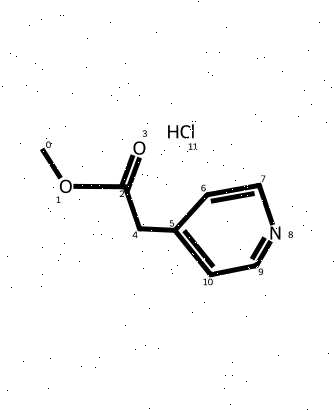 COC(=O)Cc1ccncc1.Cl